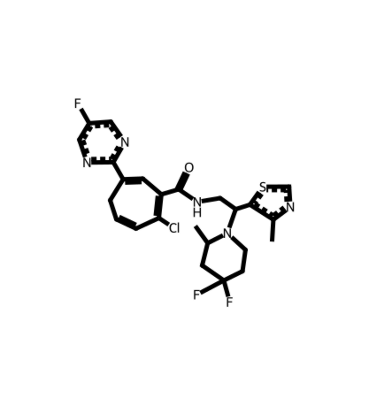 Cc1ncsc1C(CNC(=O)C1=C(Cl)C=CCC(c2ncc(F)cn2)=C1)N1CCC(F)(F)CC1C